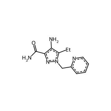 CCc1c(N)c(C(N)=O)nn1Cc1ccccn1